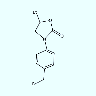 CCC1CN(c2ccc(CBr)cc2)C(=O)O1